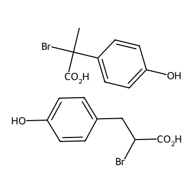 CC(Br)(C(=O)O)c1ccc(O)cc1.O=C(O)C(Br)Cc1ccc(O)cc1